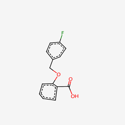 O=C(O)c1ccccc1OCc1ccc(F)cc1